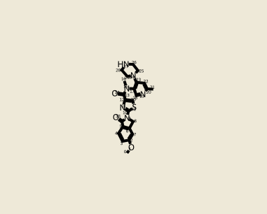 COc1ccc2c(c1)CN(c1nc(C(=O)N(C)c3cnc(C)cc3N3CCNCC3)cs1)C2=O